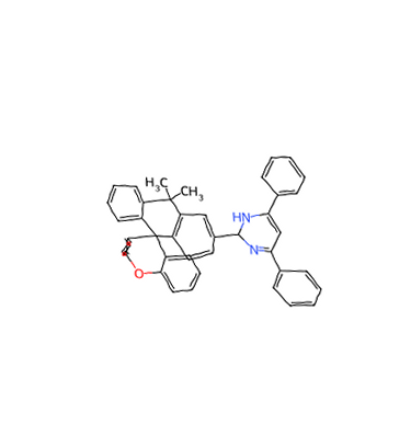 CC1(C)c2ccccc2C2(c3ccccc3Oc3ccccc32)c2ccc(C3N=C(c4ccccc4)C=C(c4ccccc4)N3)cc21